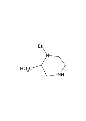 CCN1CCNCC1C(=O)O